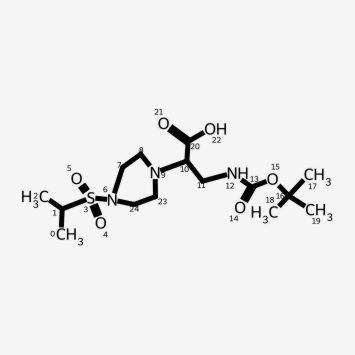 CC(C)S(=O)(=O)N1CCN(C(CNC(=O)OC(C)(C)C)C(=O)O)CC1